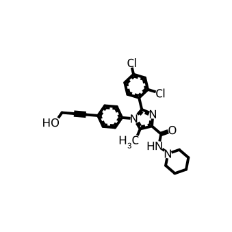 Cc1c(C(=O)NN2CCCCC2)nc(-c2ccc(Cl)cc2Cl)n1-c1ccc(C#CCO)cc1